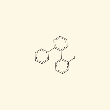 Ic1ccccc1-c1ccccc1-c1ccccc1